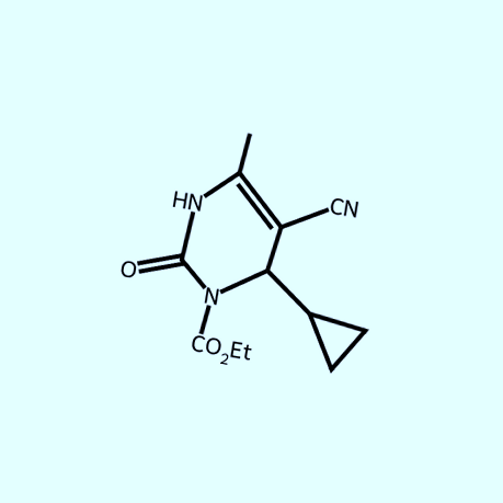 CCOC(=O)N1C(=O)NC(C)=C(C#N)C1C1CC1